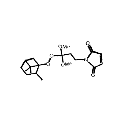 COC(CCN1C(=O)C=CC1=O)(OC)OOC12CC(CCC1C)C2(C)C